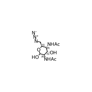 CC(=O)N[C@@H]1[C@H](O)[C@@H](NC(C)=O)C(O)O[C@H]1CN=[N+]=[N-]